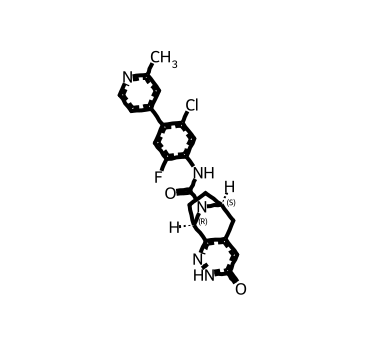 Cc1cc(-c2cc(F)c(NC(=O)N3[C@H]4CC[C@@H]3c3n[nH]c(=O)cc3C4)cc2Cl)ccn1